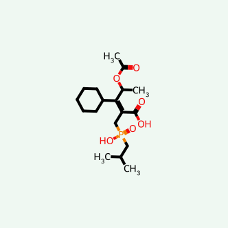 CC(=O)OC(C)C(=C(CP(=O)(O)CC(C)C)C(=O)O)C1CCCCC1